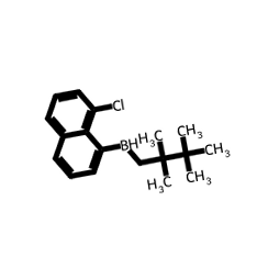 CC(C)(C)C(C)(C)CBc1cccc2cccc(Cl)c12